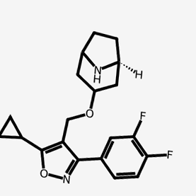 Fc1ccc(-c2noc(C3CC3)c2COC2CC3CC[C@@H](C2)N3)cc1F